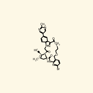 C#C[C@@H]1[C@@H](C)C[C@@H](C(=O)Nc2nc(Br)ccc2COCCF)N1C(=O)Cn1nc(C(C)=O)c2cc(-c3cnc(C)nc3)ccc21